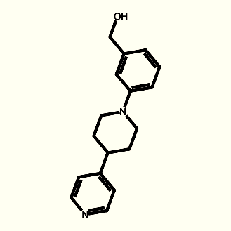 OCc1cccc(N2CCC(c3ccncc3)CC2)c1